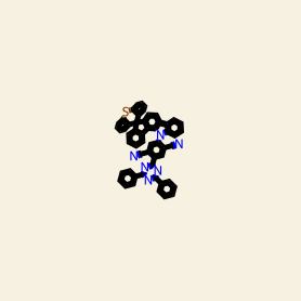 N#Cc1cc(-n2c3ccccc3c3ccc4c(c32)-c2ccccc2C42c3ccccc3Sc3ccccc32)c(C#N)cc1-c1nc(-c2ccccc2)nc(-c2ccccc2)n1